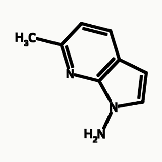 Cc1ccc2ccn(N)c2n1